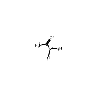 NC(=O)N(S)Cl